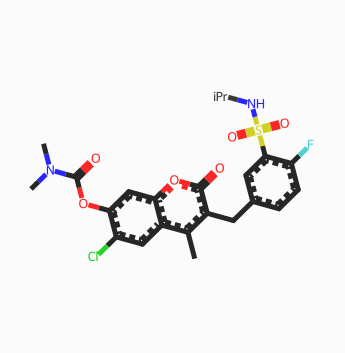 Cc1c(Cc2ccc(F)c(S(=O)(=O)NC(C)C)c2)c(=O)oc2cc(OC(=O)N(C)C)c(Cl)cc12